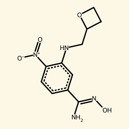 NC(=NO)c1ccc([N+](=O)[O-])c(NCC2CCO2)c1